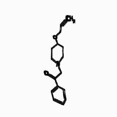 C=CCOC1CCN(CC(=O)c2ccccc2)CC1